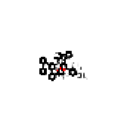 Cc1cc(C)c(-c2cc3c4c(c2)-n2c5ccccc5c5cccc(c52)B4c2cc(-c4ccccc4-c4ccccc4)cc(-c4ccccc4-c4ccccc4)c2O3)c(C)c1